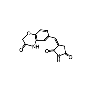 O=C1CC(=Cc2ccc3c(c2)NC(=O)CO3)C(=O)N1